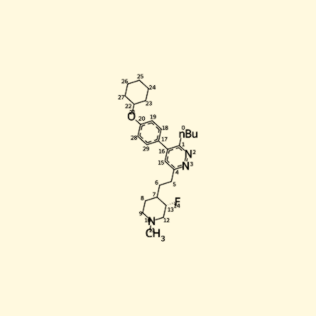 CCCCc1nnc(CCC2CCN(C)C[C@H]2F)cc1-c1ccc(OC2CCCCC2)cc1